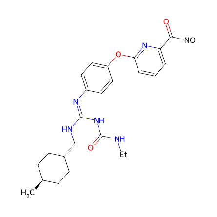 CCNC(=O)N/C(=N\c1ccc(Oc2cccc(C(=O)N=O)n2)cc1)NC[C@H]1CC[C@H](C)CC1